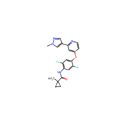 Cn1cc(-c2cc(Oc3cc(F)c(NC(=O)C4(C(=O)O)CC4)cc3F)ccn2)cn1